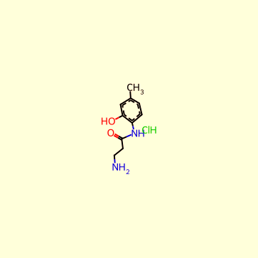 Cc1ccc(NC(=O)CCN)c(O)c1.Cl